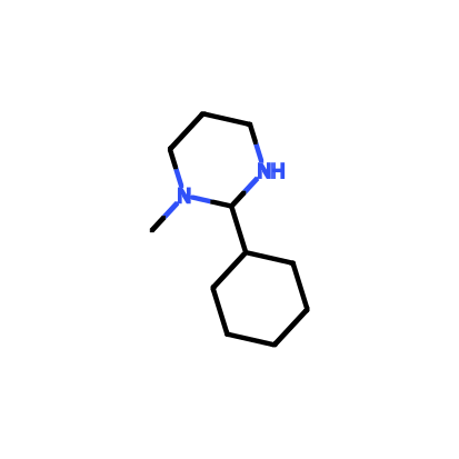 CN1CCCNC1C1CCCCC1